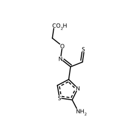 Nc1nc(C(C=S)=NOCC(=O)O)cs1